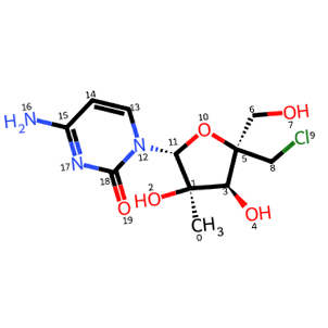 C[C@@]1(O)[C@H](O)[C@](CO)(CCl)O[C@H]1n1ccc(N)nc1=O